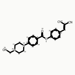 [C-]#[N+]/C(C#N)=C\c1ccc(OC(=O)c2ccc(N3CCN(CN=O)CC3)cc2)cc1